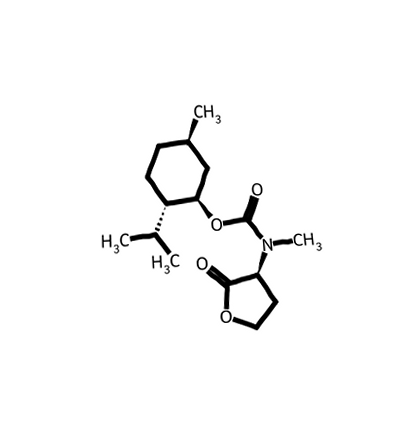 CC(C)[C@@H]1CC[C@@H](C)C[C@H]1OC(=O)N(C)[C@H]1CCOC1=O